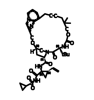 C=C[C@@H]1C[C@]1(NC(=O)[C@@H]1C[C@@H]2CN1C(=O)[C@H](C(C)(C)C)NC(=O)OCC(C)(C)CCCCc1cccn3cc(nc13)CO2)C(=O)NS(=O)(=O)C1CC1